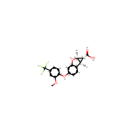 COc1cc(C(F)(F)F)ccc1Oc1ccc2c(c1)O[C@H]1[C@H](C(=O)O)[C@@H]21